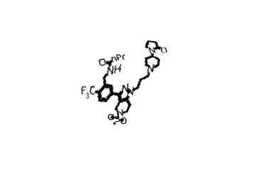 CCCC(=O)NCc1cc(-c2nn(CCCN3CCC(N4CCCC4=O)CC3)c3c2CN(S(C)(=O)=O)CC3)ccc1C(F)(F)F